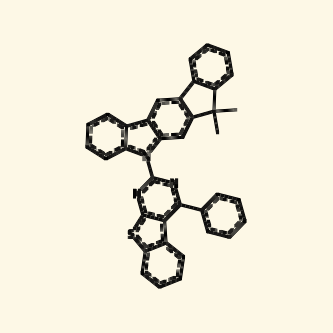 CC1(C)c2ccccc2-c2cc3c4ccccc4n(-c4nc(-c5ccccc5)c5c(n4)sc4ccccc45)c3cc21